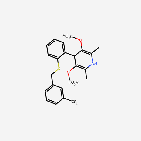 CC1=C(OC(=O)O)C(c2ccccc2SCc2cccc(C(F)(F)F)c2)C(OC(=O)O)=C(C)N1